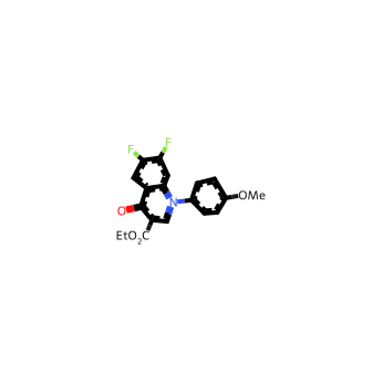 CCOC(=O)c1cn(-c2ccc(OC)cc2)c2cc(F)c(F)cc2c1=O